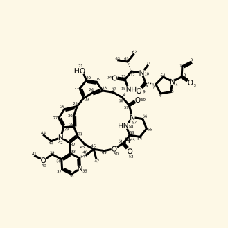 C=CC(=O)N1CC[C@H](C(=O)N(C)[C@H](C(=O)N[C@H]2Cc3cc(O)cc(c3)-c3ccc4c(c3)c(c(-c3cnccc3COC)n4CC)CC(C)(C)COC(=O)[C@@H]3CCCN(N3)C2=O)C(C)C)C1